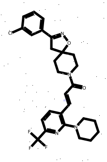 O=C(/C=C/c1ccc(C(F)(F)F)nc1N1CCCCC1)N1CCC2(CC1)CC(c1cccc(Cl)c1)=NO2